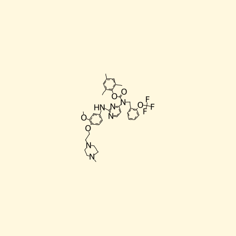 COc1cc(Nc2nccc(N(Cc3ccccc3OC(F)(F)F)C(=O)Oc3c(C)cc(C)cc3C)n2)ccc1OCCN1CCN(C)CC1